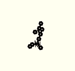 c1ccc(-c2nc(-c3ccc(-c4ccc5c(c4)N(c4ccccc4)c4ccc(-c6ccccc6)c6cccc-5c46)cc3)nc(-c3ccc4ccccc4c3)n2)cc1